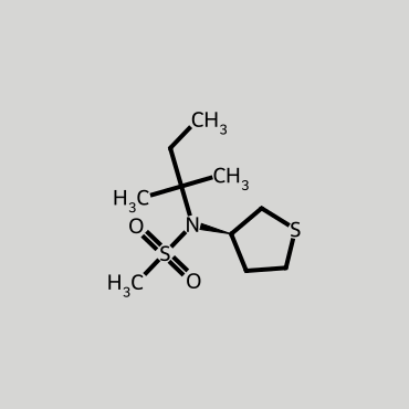 CCC(C)(C)N([C@@H]1CCSC1)S(C)(=O)=O